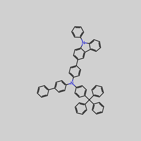 c1ccc(-c2ccc(N(c3ccc(-c4ccc5c(c4)c4ccccc4n5-c4ccccc4)cc3)c3ccc(C(c4ccccc4)(c4ccccc4)c4ccccc4)cc3)cc2)cc1